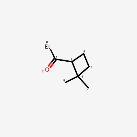 CCC(=O)C1CCC1(C)C